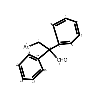 CC(=O)CC(C=O)(c1ccccc1)c1ccccc1